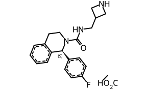 CC(=O)O.O=C(NCC1CNC1)N1CCc2ccccc2[C@@H]1c1ccc(F)cc1